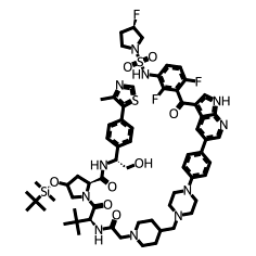 Cc1ncsc1-c1ccc([C@H](CO)NC(=O)[C@@H]2CC(O[Si](C)(C)C(C)(C)C)CN2C(=O)[C@@H](NC(=O)CN2CCC(CN3CCN(c4ccc(-c5cnc6[nH]cc(C(=O)c7c(F)ccc(NS(=O)(=O)N8CC[C@@H](F)C8)c7F)c6c5)cc4)CC3)CC2)C(C)(C)C)cc1